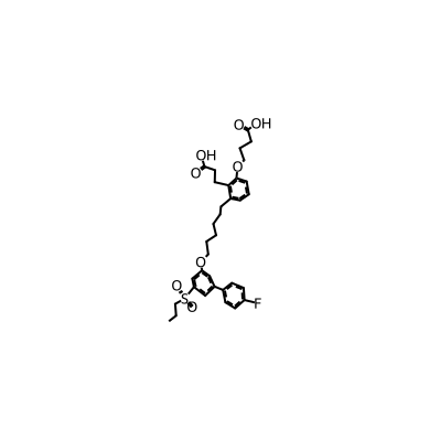 CCCS(=O)(=O)c1cc(OCCCCCCc2cccc(OCCCC(=O)O)c2CCC(=O)O)cc(-c2ccc(F)cc2)c1